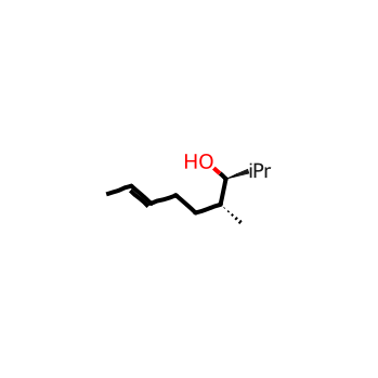 C/C=C/CC[C@@H](C)[C@@H](O)C(C)C